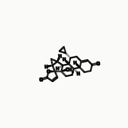 C[C@]12CC[C@H]3[C@H]([C@@H]1[C@H]1C[C@H]1[C@@]21C=CC(=O)O1)[C@H](C1CC1)CC1=CC(=O)CC[C@@H]13